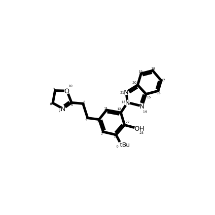 CC(C)(C)c1cc(CCC2=NCCO2)cc(-n2nc3ccccc3n2)c1O